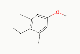 CCc1c(C)cc(OC)cc1C